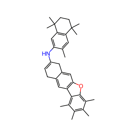 Cc1cc2c(cc1NC1=CCc3cc4c(cc3C1)oc1c(C)c(C)c(C)c(C)c14)C(C)(C)CCC2(C)C